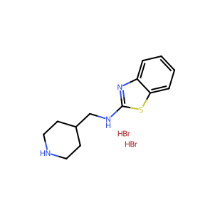 Br.Br.c1ccc2sc(NCC3CCNCC3)nc2c1